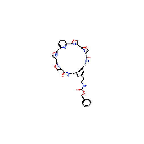 O=C(NCCc1cc2cc(c1)CNC(=O)c1coc(n1)-c1coc(n1)-c1cccc(n1)-c1nc(co1)-c1nc(co1)C(=O)NC2)OCc1ccccc1